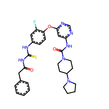 O=C(Cc1ccccc1)NC(=S)Nc1ccc(Oc2cc(NC(=O)N3CCC(N4CCCC4)CC3)ncn2)c(F)c1